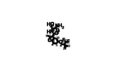 Cc1oc2ccc(OCC3(C(F)F)CC3)cc2c1C(=O)N[C@@H](CO)C(N)=O